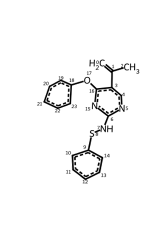 C=C(C)c1cnc(NSc2ccccc2)nc1Oc1ccccc1